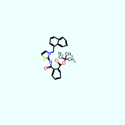 CC(C)(C)OC(=O)c1ccccc1C(=O)N=c1sccn1Cc1cccc2ccccc12